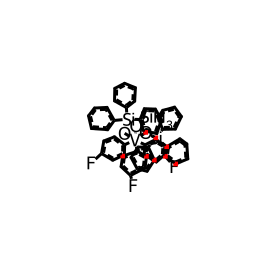 Fc1cc[c]([V]([O][SiH3])([O][Si](c2ccccc2)(c2ccccc2)c2ccccc2)([O][Si](c2ccccc2)(c2ccccc2)c2ccccc2)([c]2ccc(F)cc2)[c]2ccc(F)cc2)cc1